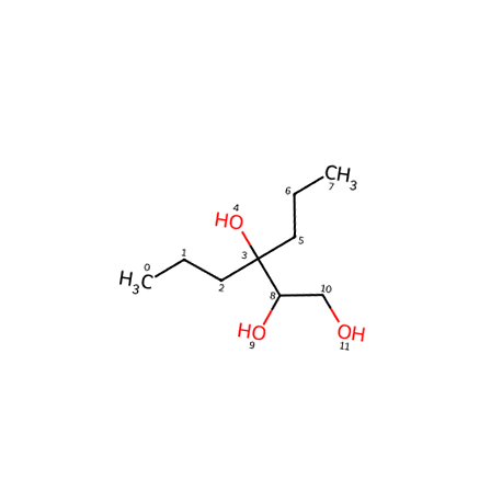 CCCC(O)(CCC)C(O)CO